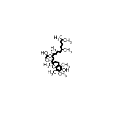 C=CC(=O)O.Cc1c(C)c2c(c(C)c1O)CC[C@@](C)(CCC[C@H](C)CCC[C@H](C)CCCC(C)C)O2